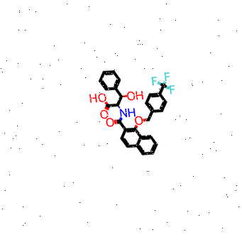 O=C(N[C@H](C(=O)O)[C@H](O)c1ccccc1)c1ccc2ccccc2c1OCc1ccc(C(F)(F)F)cc1